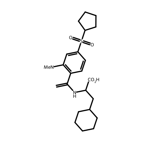 C=C(NC(CC1CCCCC1)C(=O)O)c1ccc(S(=O)(=O)C2CCCC2)cc1NC